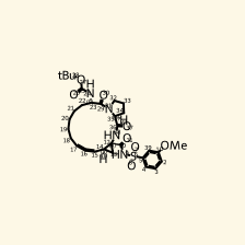 COc1cccc(S(=O)(=O)NC(=O)[C@@]23C[C@H]2C=C=CCCCCC[C@H](NC(=O)OC(C)(C)C)C(=O)N2CCC[C@H]2C(=O)N3)c1